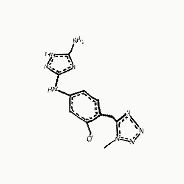 Cn1nnnc1-c1ccc(Nc2n[nH]c(N)n2)cc1Cl